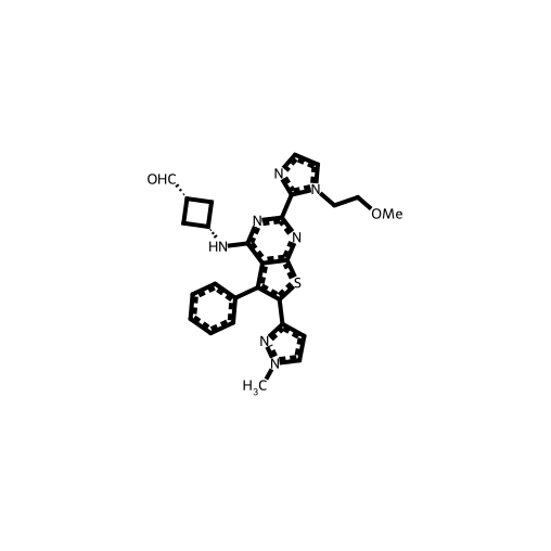 COCCn1ccnc1-c1nc(N[C@H]2C[C@@H](C=O)C2)c2c(-c3ccccc3)c(-c3ccn(C)n3)sc2n1